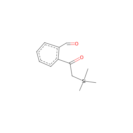 C[Si](C)(C)CC(=O)c1ccccc1C=O